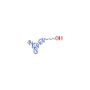 OCCCCCCN1CCN(c2cc(N3CCCC3)nc(N3CCCC3)n2)CC1